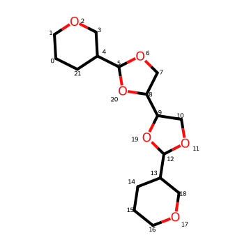 C1COCC(C2OCC(C3COC(C4CCCOC4)O3)O2)C1